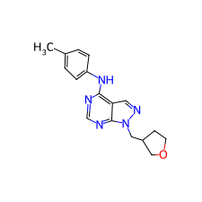 Cc1ccc(Nc2ncnc3c2cnn3CC2CCOC2)cc1